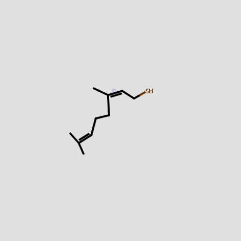 CC(C)=CCC/C(C)=C\CS